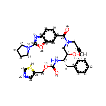 C#CCN(C[C@@H](O)[C@H](Cc1ccccc1)NC(=O)OCc1cncs1)C(=O)c1ccc2nc(N3CCCC3)oc2c1